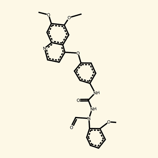 COc1cc2nccc(Oc3ccc(NC(=O)NN(C=O)c4ccccc4OC)cc3)c2cc1OC